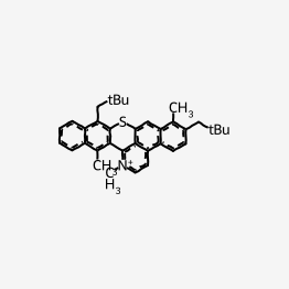 Cc1c2c(c(CC(C)(C)C)c3ccccc13)Sc1cc3c(C)c(CC(C)(C)C)ccc3c3cc[n+](C)c-2c13